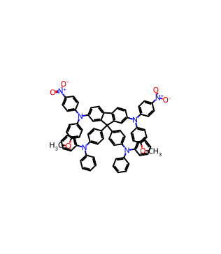 COc1ccc(N(c2ccc([N+](=O)[O-])cc2)c2ccc3c(c2)C(c2ccc(N(c4ccccc4)c4ccccc4)cc2)(c2ccc(N(c4ccccc4)c4ccccc4)cc2)c2cc(N(c4ccc(OC)cc4)c4ccc([N+](=O)[O-])cc4)ccc2-3)cc1